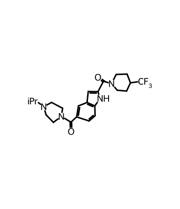 CC(C)N1CCN(C(=O)c2ccc3[nH]c(C(=O)N4CCC(C(F)(F)F)CC4)cc3c2)CC1